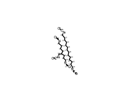 O=C=NCCCCC(CCCN=C=O)CN=C=O.O=C=NCCCCCCCCCCCCCCN=C=O